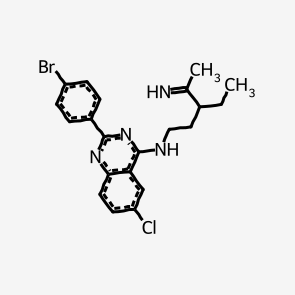 CCC(CCNc1nc(-c2ccc(Br)cc2)nc2ccc(Cl)cc12)C(C)=N